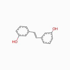 Oc1cccc(C=Cc2cccc(O)c2)c1